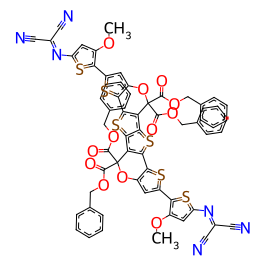 COc1cc(N=C(C#N)C#N)sc1-c1cc2c(s1)-c1sc3c4c(sc3c1C(C(=O)OCc1ccccc1)(C(=O)OCc1ccccc1)O2)-c1sc(-c2sc(N=C(C#N)C#N)cc2OC)cc1OC4(C(=O)OCc1ccccc1)C(=O)OCc1ccccc1